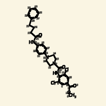 COC(=O)c1cc(Cl)c(NC(=O)N2CCN(c3ccc(NC(=O)CCCc4ccccc4)cc3)CC2)c(Cl)c1